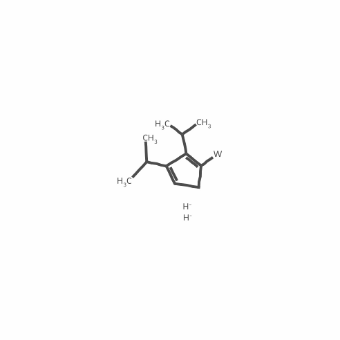 CC(C)C1=CC[C]([W])=C1C(C)C.[H-].[H-]